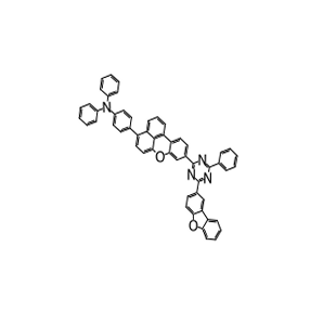 c1ccc(-c2nc(-c3ccc4c(c3)Oc3ccc(-c5ccc(N(c6ccccc6)c6ccccc6)cc5)c5cccc-4c35)nc(-c3ccc4oc5ccccc5c4c3)n2)cc1